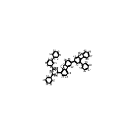 c1ccc(-c2cccc(-c3nc(-c4ccccc4)nc(-c4cccc5c4oc4ccc(-c6cc(-c7ccccc7)c7c(c6)sc6ccccc67)cc45)n3)c2)cc1